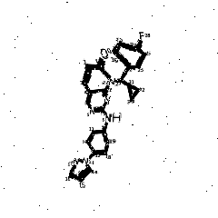 O=c1ccc2cnc(Nc3ccc(-n4cccn4)cc3)nc2n1C(c1ccc(F)cc1)C1CC1